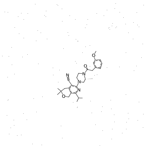 COc1cccc(CC(=O)N2CCN(c3nc(C(C)C)c4c(c3C#N)CC(C)(C)OC4)C[C@H]2C)c1